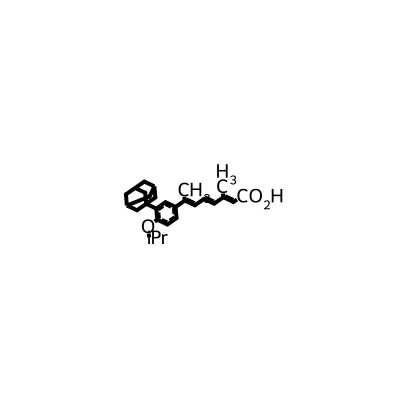 CC(/C=C/C=C(\C)c1ccc(OC(C)C)c(C23CC4CC(CC(C4)C2)C3)c1)=C\C(=O)O